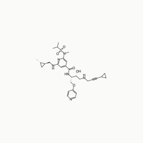 CC(C)S(=O)(=O)N(C)c1cc(C(=O)N[C@@H](COc2ccncc2)[C@H](O)CNCC#CC2CC2)cc(NC[C@H]2C[C@@H]2C)n1